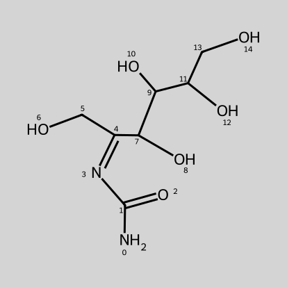 NC(=O)N=C(CO)C(O)C(O)C(O)CO